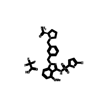 COc1cccc2c1c(NS(=O)(=O)c1ccc(Cl)s1)nn2Cc1cccc(CN2CCC[C@@H]2C(N)=O)c1.O=C(O)C(F)(F)F